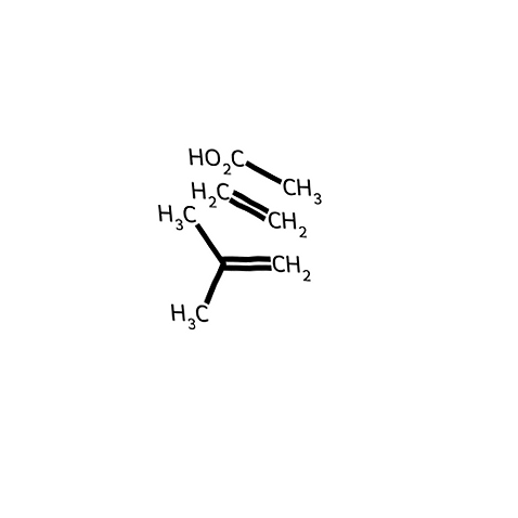 C=C.C=C(C)C.CC(=O)O